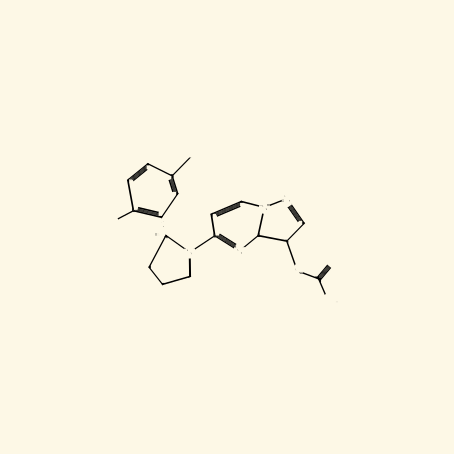 CC(C)(C)C(=O)NC1C=NN2C=CC(N3CCC[C@@H]3c3cc(F)ccc3F)=NC12